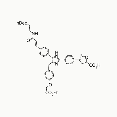 CCCCCCCCCCCCNC(=O)C=Cc1ccc(-c2[nH]c(-c3ccc(C4=NOC(C(=O)O)C4)cc3)nc2Cc2ccc(OCC(=O)OCC)cc2)cc1